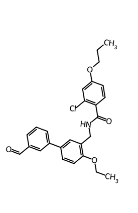 CCCOc1ccc(C(=O)NCc2cc(-c3cccc(C=O)c3)ccc2OCC)c(Cl)c1